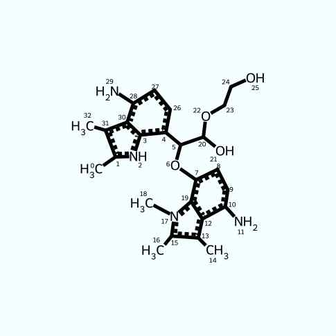 Cc1[nH]c2c(C(Oc3ccc(N)c4c(C)c(C)n(C)c34)C(O)OCCO)ccc(N)c2c1C